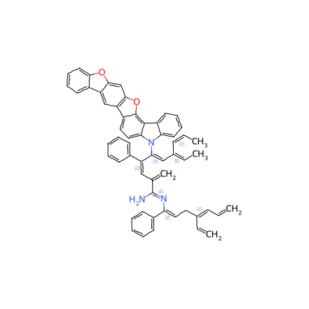 C=C/C=C(\C=C)C/C=C(\N=C(/N)C(=C)\C=C(/C(=C/C(/C=C\C)=C/C)n1c2ccccc2c2c3oc4cc5oc6ccccc6c5cc4c3ccc21)c1ccccc1)c1ccccc1